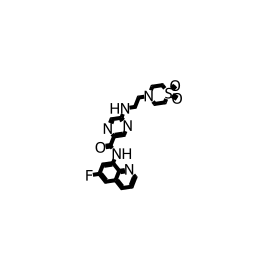 O=C(Nc1cc(F)cc2cccnc12)c1cnc(NCCN2CCS(=O)(=O)CC2)cn1